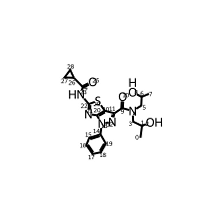 CC(O)CN(CC(C)O)C(=O)c1nn(-c2ccccc2)c2nc(NC(=O)C3CC3)sc12